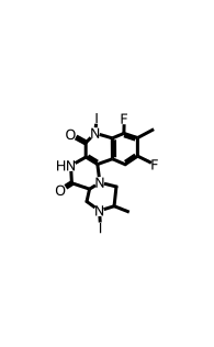 Cc1c(F)cc2c3c(c(=O)n(I)c2c1F)NC(=O)C1CN(I)C(C)CN31